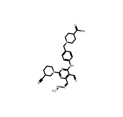 CN/N=C\c1nc(N2CCCC(C#N)C2)nc(Nc2ccc(CN3CCC(C(=O)O)CC3)cc2)c1C=O